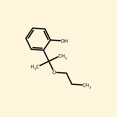 CCCOC(C)(C)c1ccccc1O